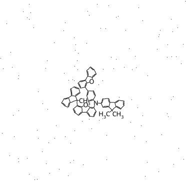 CC1(C)c2ccccc2-c2ccc(N(c3ccc(-c4cccc5c4oc4ccccc45)cc3)c3cccc4c3oc3c(C5(C)c6ccccc6-c6ccccc65)cccc34)cc21